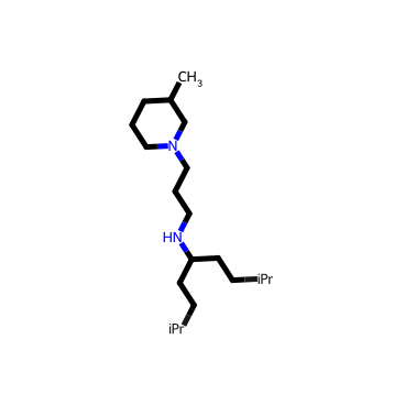 CC(C)CCC(CCC(C)C)NCCCN1CCCC(C)C1